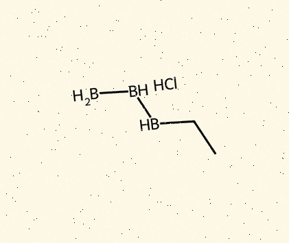 BBBCC.Cl